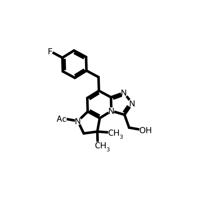 CC(=O)N1CC(C)(C)c2c1cc(Cc1ccc(F)cc1)c1nnc(CO)n21